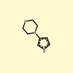 [c]1[nH]ccc1N1CCOCC1